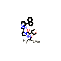 CN[C@@H](C)C(=O)N[C@H](C(=O)N1CCC[C@H]1c1cn2cccc(-c3cccc4ccccc34)c2n1)C1CCOCC1